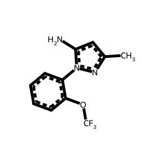 Cc1cc(N)n(-c2ccccc2OC(F)(F)F)n1